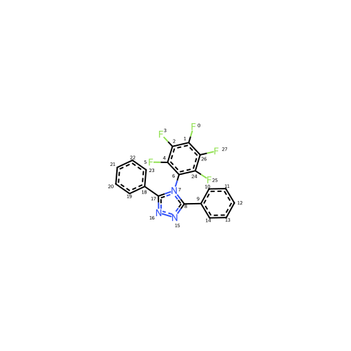 Fc1c(F)c(F)c(-n2c(-c3ccccc3)nnc2-c2ccccc2)c(F)c1F